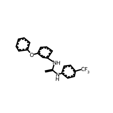 C=C(Nc1ccc(C(F)(F)F)cc1)Nc1cccc(Oc2ccccc2)c1